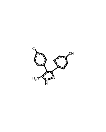 N#Cc1ccc(-c2n[nH]c(N)c2-c2ccc(Cl)cc2)cc1